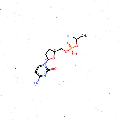 CC(C)OP(=O)(O)OC[C@@H]1CC[C@H](n2ccc(N)nc2=O)O1